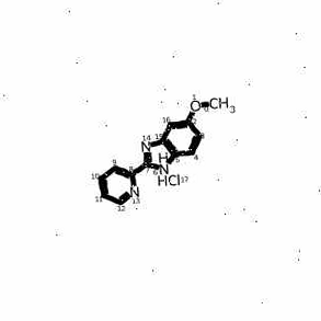 COc1ccc2[nH]c(-c3ccccn3)nc2c1.Cl